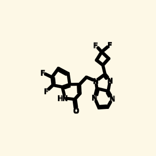 O=c1cc(Cn2c(C3CC(F)(F)C3)nc3nccnc32)c2ccc(F)c(F)c2[nH]1